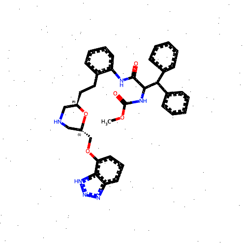 COC(=O)NC(C(=O)Nc1ccccc1CC[C@@H]1CNC[C@@H](COc2cccc3nn[nH]c23)O1)C(c1ccccc1)c1ccccc1